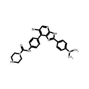 CN(C)c1ccc(-c2nc3c(-c4ccc(NC(=O)N5CCNCC5)cc4)c(Br)cnc3[nH]2)cc1